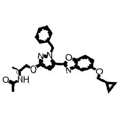 CC(=O)N[C@@H](C)COc1cc(-c2nc3cc(OCC4CC4)ccc3o2)n(Cc2ccccc2)n1